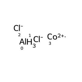 [AlH3].[Cl-].[Cl-].[Co+2]